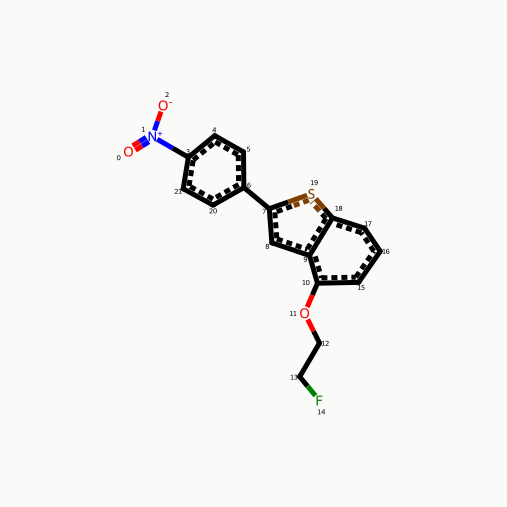 O=[N+]([O-])c1ccc(-c2cc3c(OCCF)cccc3s2)cc1